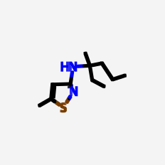 CCCC(C)(CC)Nc1cc(C)sn1